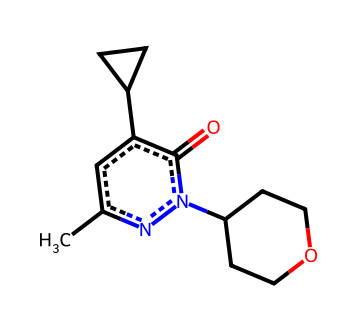 Cc1cc(C2CC2)c(=O)n(C2CCOCC2)n1